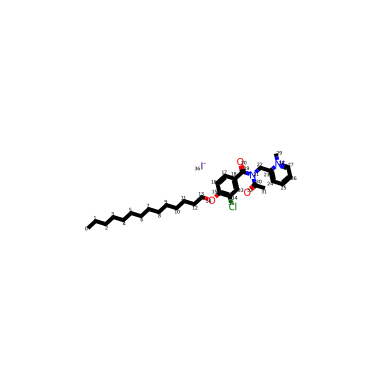 CCCCCCCCCCCCCCOc1ccc(C(=O)N(Cc2cccc[n+]2C)C(C)=O)cc1Cl.[I-]